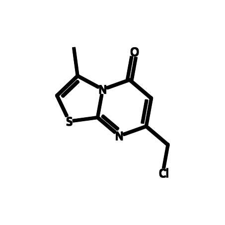 Cc1csc2nc(CCl)cc(=O)n12